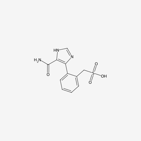 NC(=O)c1[nH]cnc1-c1ccccc1CS(=O)(=O)O